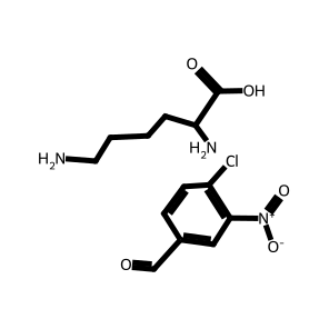 NCCCCC(N)C(=O)O.O=Cc1ccc(Cl)c([N+](=O)[O-])c1